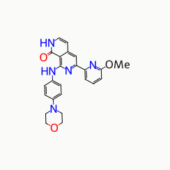 COc1cccc(-c2cc3cc[nH]c(=O)c3c(Nc3ccc(N4CCOCC4)cc3)n2)n1